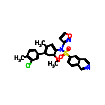 COc1cc(-c2ccc(C)c(Cl)c2)c(C)cc1N(c1ccon1)S(=O)(=O)c1ccc2cnccc2c1